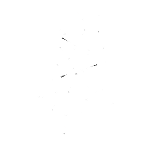 CC(=O)O[C@]1(C(C)=O)CC[C@H]2[C@@H]3CC(F)C4=CC(=O)C5CC5[C@@]4(C)[C@@H]3CC[C@@]21C